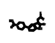 O=C(O)N1CCC(c2ccc3[nH]c(Br)c(CC(F)F)c3c2)CC1